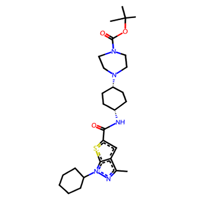 Cc1nn(C2CCCCC2)c2sc(C(=O)N[C@H]3CC[C@@H](N4CCN(C(=O)OC(C)(C)C)CC4)CC3)cc12